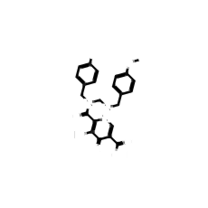 COc1ccc(CN2CN(Cc3ccc(F)cc3)C(=O)c3c(O)c(=O)c(C(=O)O)cn32)cc1